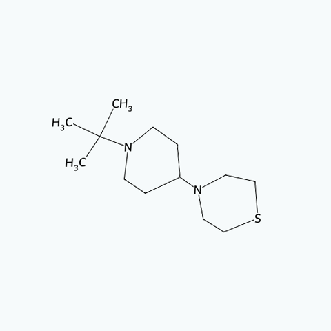 CC(C)(C)N1CCC(N2CCSCC2)CC1